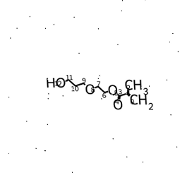 C=C(C)C(=O)OCCOCCCO